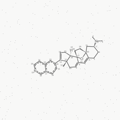 CN(C)[C@H]1CCC2=CC3=CC[C@]4(C)C(c5ccc6cnccc6c5)=CC[C@H]4[C@@]34CC[C@]2(C1)O4